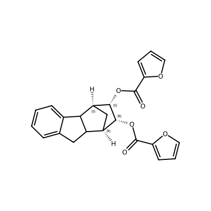 O=C(O[C@@H]1[C@H](OC(=O)c2ccco2)[C@@H]2C[C@H]1C1c3ccccc3CC12)c1ccco1